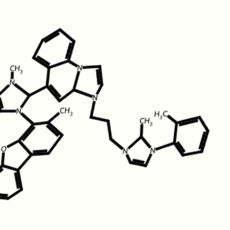 Cc1ccccc1N1C=CN(CCCN2C=CN3c4ccccc4C(C4N(C)C=CN4c4c(C)ccc5c4oc4ccccc45)=CC23)C1C